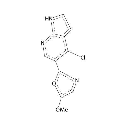 COc1cnc(-c2cnc3[nH]ccc3c2Cl)o1